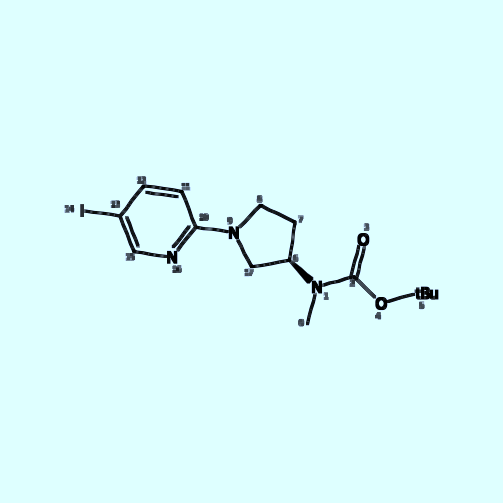 CN(C(=O)OC(C)(C)C)[C@@H]1CCN(c2ccc(I)cn2)C1